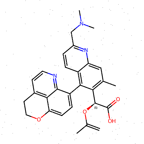 C=C(C)O[C@H](C(=O)O)c1c(C)cc2nc(CN(C)C)ccc2c1-c1ccc2c3c(ccnc13)CCO2